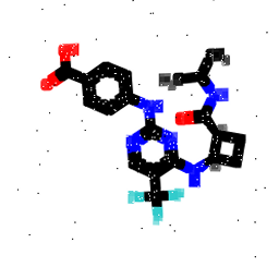 CC(C)NC(=O)[C@H]1CC[C@H]1Nc1nc(Nc2ccc(C(=O)O)cc2)ncc1C(F)(F)F